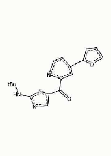 CC(C)(C)Nc1ncc(C(=O)c2cc(-c3ccco3)ccn2)s1